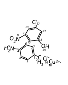 Cc1ccc(N)cc1.O=[N+]([O-])c1cccc(O)c1.[Cl-].[Cl-].[Cu+2]